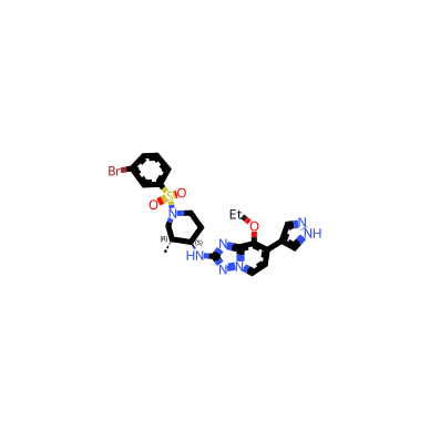 CCOc1c(-c2cn[nH]c2)ccn2nc(N[C@H]3CCN(S(=O)(=O)c4cccc(Br)c4)C[C@H]3C)nc12